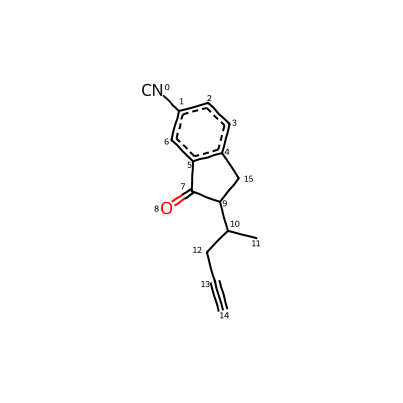 [C-]#[N+]c1ccc2c(c1)C(=O)C(C(C)CC#C)C2